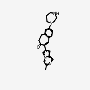 Cc1cn2cc(C3=Cc4ccc(N5CCCNCC5)cc4CCC3=O)cc2cn1